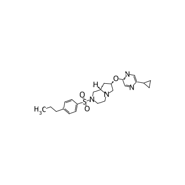 CCCc1ccc(S(=O)(=O)N2CCN3C[C@H](Oc4cnc(C5CC5)cn4)C[C@H]3C2)cc1